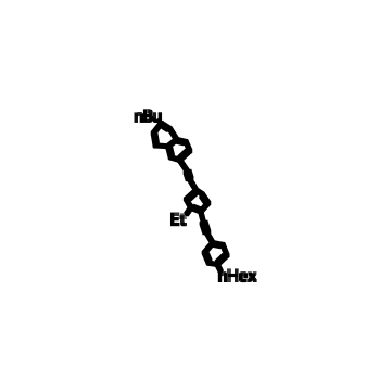 CCCCCCc1ccc(C#Cc2ccc(C#Cc3ccc4cc(CCCC)ccc4c3)cc2CC)cc1